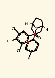 O=C(c1cc(Cl)c(O)c(Cl)c1)N1[C@@H]2CC[C@H]1C[C@@H](c1ccc(F)cc1)C2